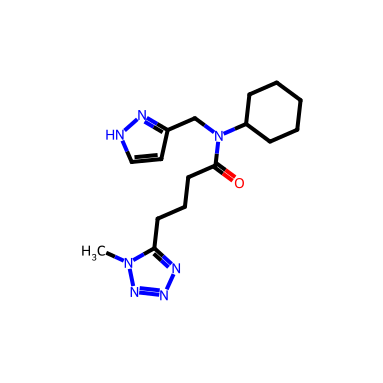 Cn1nnnc1CCCC(=O)N(Cc1cc[nH]n1)C1CCCCC1